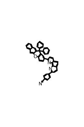 N#Cc1ccc(-c2ccc3ccc4ccc(-c5ccc6c(c5)C(c5ccccc5)(c5ccccc5)c5cc7ccccc7cc5O6)nc4c3n2)cc1